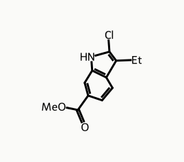 CCc1c(Cl)[nH]c2cc(C(=O)OC)ccc12